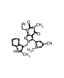 Cc1[nH]c2ccccc2c1Cn1nc2c(c1-c1cc(C#N)cn1C)c(=O)n(C)c(=O)n2CC(C)C